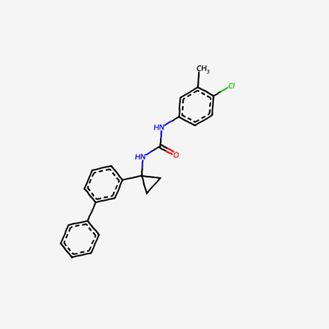 Cc1cc(NC(=O)NC2(c3cccc(-c4ccccc4)c3)CC2)ccc1Cl